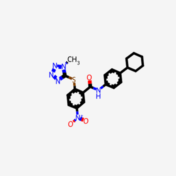 Cn1nnnc1Sc1ccc([N+](=O)[O-])cc1C(=O)Nc1ccc(C2CCCCC2)cc1